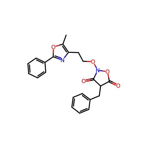 Cc1oc(-c2ccccc2)nc1CCON1OC(=O)C(Cc2ccccc2)C1=O